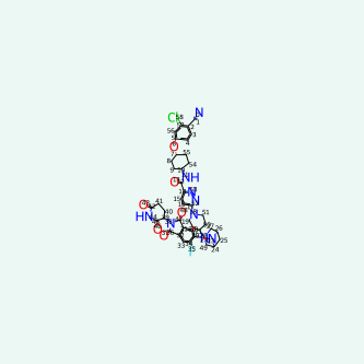 N#Cc1ccc(O[C@H]2CC[C@H](NC(=O)c3ccc(N4CCC(CN5C6CC5CN(c5cc7c(cc5F)C(=O)N(C5CCC(=O)NC5=O)C7=O)C6)CC4)nn3)CC2)cc1Cl